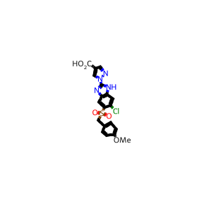 COc1ccc(CS(=O)(=O)c2cc3nc(-n4cc(C(=O)O)cn4)[nH]c3cc2Cl)cc1